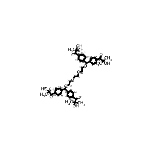 CC(C)(O)C(=O)c1ccc(C(OCCOCCOCCOC(c2ccc(C(=O)C(C)(C)O)cc2)c2ccc(C(=O)C(C)(C)O)cc2)c2ccc(C(=O)C(C)(C)O)cc2)cc1